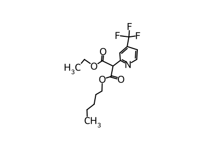 CCCCCOC(=O)C(C(=O)OCC)c1cc(C(F)(F)F)ccn1